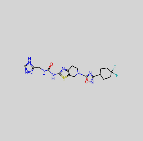 O=C(NCc1nnc[nH]1)Nc1nc2c(s1)CN(c1nc(C3CCC(F)(F)CC3)no1)CC2